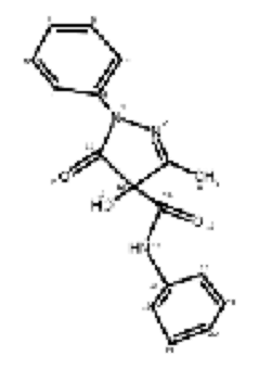 CC1=NN(c2ccccc2)C(=O)C1(O)C(=O)Nc1ccccc1